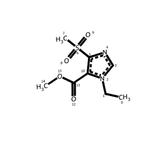 CCn1cnc(S(C)(=O)=O)c1C(=O)OC